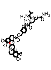 CC[C@H]1CN2CCc3cc(OC)c(OC)cc3[C@@H]2C[C@@H]1C[C@@H]1c2cc(OC)c(OC)cc2CCN1C(=O)OCc1ccc(NC(=O)[C@H](CCCNC(N)=O)NC(=O)[C@@H](N)C(C)C)cc1